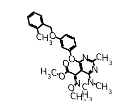 CON=C(C(=O)OC)c1c(Oc2cccc(OCc3ccccc3C)c2)nc(C)nc1N(C)C